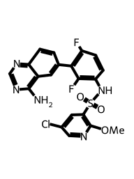 COc1ncc(Cl)cc1S(=O)(=O)Nc1ccc(F)c(-c2ccc3ncnc(N)c3c2)c1F